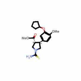 COC(=O)[C@H]1CN(C(N)=S)C[C@@H]1c1ccc(OC)c(OC2CCCC2)c1